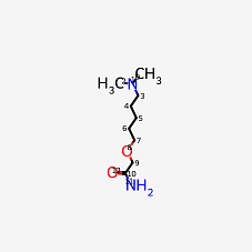 CN(C)CCCCCOCC(N)=O